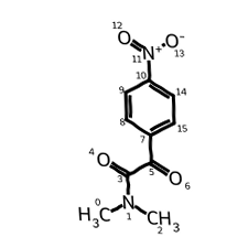 CN(C)C(=O)C(=O)c1ccc([N+](=O)[O-])cc1